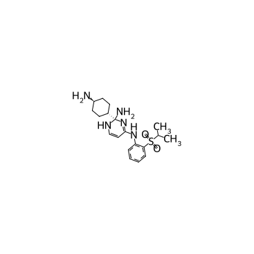 CC(C)S(=O)(=O)c1ccccc1NC1=NC(N)([C@H]2CC[C@H](N)CC2)NC=C1